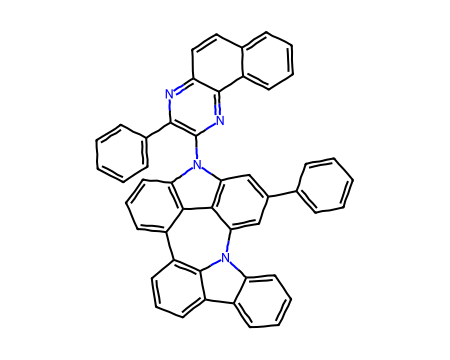 c1ccc(-c2cc3c4c5c(cccc5n3-c3nc5c(ccc6ccccc65)nc3-c3ccccc3)c3cccc5c6ccccc6n(c4c2)c35)cc1